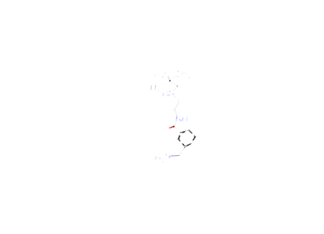 CC(C)(C)CNCCNC(=O)c1cccc(CN)c1